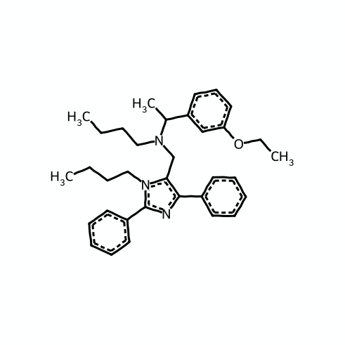 CCCCN(Cc1c(-c2ccccc2)nc(-c2ccccc2)n1CCCC)C(C)c1cccc(OCC)c1